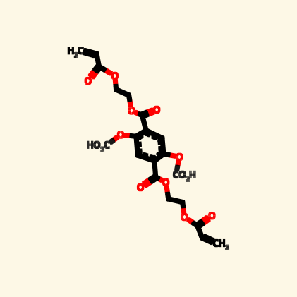 C=CC(=O)OCCOC(=O)c1cc(OC(=O)O)c(C(=O)OCCOC(=O)C=C)cc1OC(=O)O